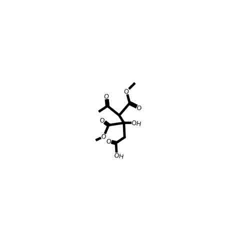 COC(=O)C(C(C)=O)C(O)(CC(=O)O)C(=O)OC